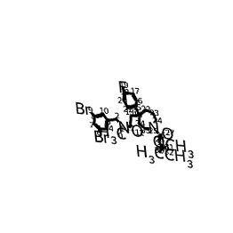 CN(Cc1cc(Br)cc(Br)c1)C(=O)CC1(c2ccc(F)cc2)CCCN(C(=O)OC(C)(C)C)CC1